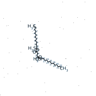 CCCCCCCCCCCC[SiH2]OC(=O)CCC(=O)O[SiH2]CCCCCCCCCCCC